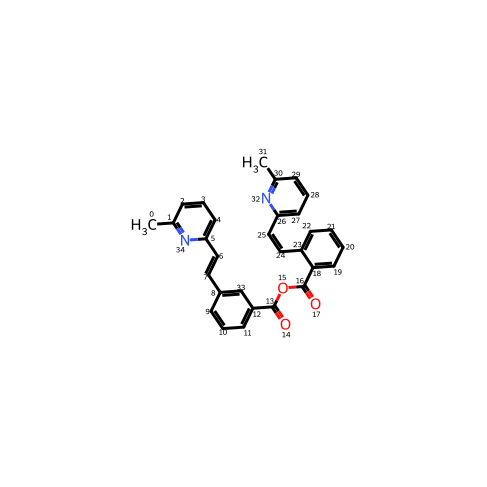 Cc1cccc(C=Cc2cccc(C(=O)OC(=O)c3ccccc3C=Cc3cccc(C)n3)c2)n1